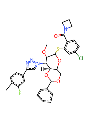 COC1C(n2cc(-c3ccc(C)c(F)c3)nn2)[C@H]2OC(c3ccccc3)OCC2O[C@@H]1Sc1cc(Cl)ccc1C(=O)N1CCC1